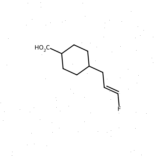 O=C(O)C1CCC(CC=CF)CC1